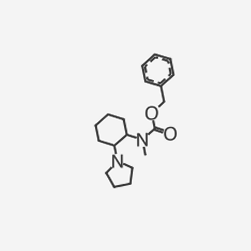 CN(C(=O)OCc1ccccc1)C1CCCCC1N1CCCC1